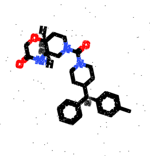 Cc1ccc([C@H](c2ccccc2)C2CCN(C(=O)N3CC[C@@H]4OCC(=O)N[C@@H]4C3)CC2)cc1